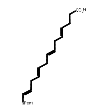 CCCCCC=CCC=CCC=CCC=CCCC(=O)O